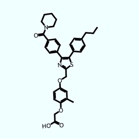 CCCc1ccc(-c2sc(COc3ccc(OCC(=O)O)c(C)c3)nc2-c2ccc(C(=O)N3CCCCC3)cc2)cc1